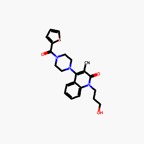 N#Cc1c(N2CCN(C(=O)c3cccs3)CC2)c2ccccc2n(CCCO)c1=O